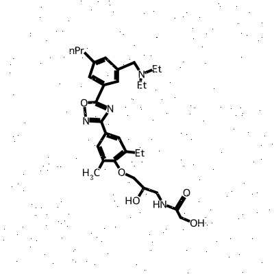 CCCc1cc(CN(CC)CC)cc(-c2nc(-c3cc(C)c(OCC(O)CNC(=O)CO)c(CC)c3)no2)c1